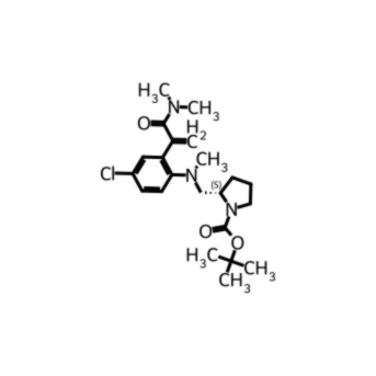 C=C(C(=O)N(C)C)c1cc(Cl)ccc1N(C)C[C@@H]1CCCN1C(=O)OC(C)(C)C